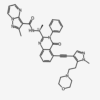 Cc1nn2cccnc2c1C(=O)N[C@@H](C)c1nc2cccc(C#Cc3cnn(C)c3CCN3CCOCC3)c2c(=O)n1-c1ccccc1